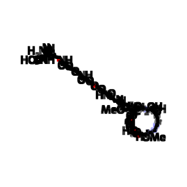 CCO[C@@H]1C[C@@H]([C@H](N)C[C@@H]2CC[C@H](n3cc(CCCC(=O)NCCOCCOCCOCCC(=O)NCCOCCOCCC(=O)NCCCCn4nc(-c5cc6cc(O)ccc6[nH]5)c5c(N)ncnc54)nn3)[C@H](OC)C2)OC(=O)[C@@H]2CCCCN2C(=O)C(=O)[C@]2(O)O[C@@H](CC[C@H]2C)C[C@H](OC)/C(C)=C/C=C/C=C/[C@@H](C)C[C@@H](C)C(=O)[C@H](O)[C@H](O)/C(C)=C/[C@H]1C